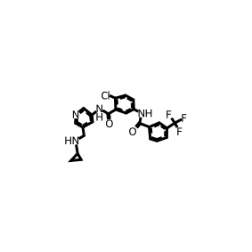 O=C(Nc1ccc(Cl)c(C(=O)Nc2cncc(CNC3CC3)c2)c1)c1cccc(C(F)(F)F)c1